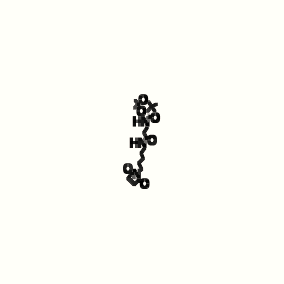 CC1(C)OCC(C)(C)[C@H](C(=O)NCCC(=O)NCCCCCN2C(=O)C=CC2=O)O1